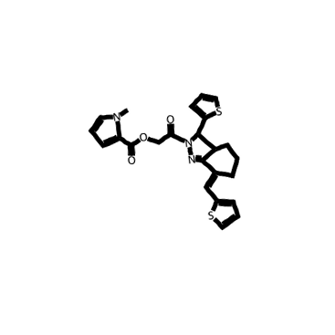 Cn1cccc1C(=O)OCC(=O)N1N=C2/C(=C/c3cccs3)CCCC2C1c1cccs1